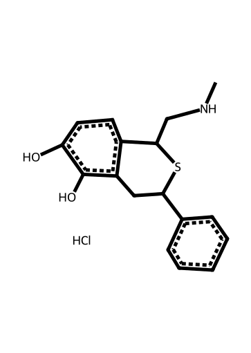 CNCC1SC(c2ccccc2)Cc2c1ccc(O)c2O.Cl